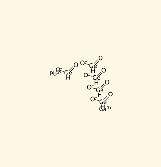 [Ga+3].[O]=[GeH][O-].[O]=[GeH][O-].[O]=[GeH][O-].[O]=[GeH][O-].[O]=[GeH][O-].[Pb+2]